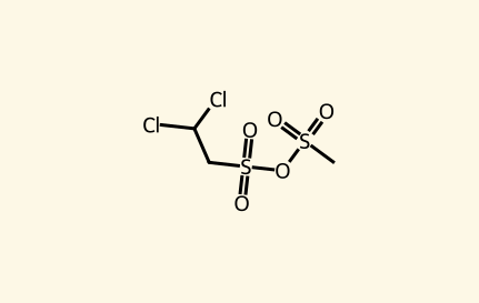 CS(=O)(=O)OS(=O)(=O)CC(Cl)Cl